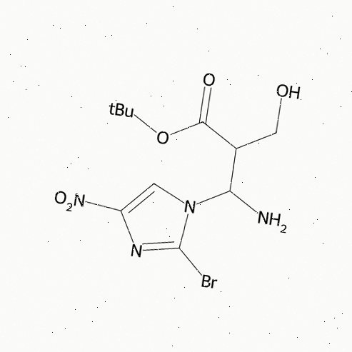 CC(C)(C)OC(=O)C(CO)C(N)n1cc([N+](=O)[O-])nc1Br